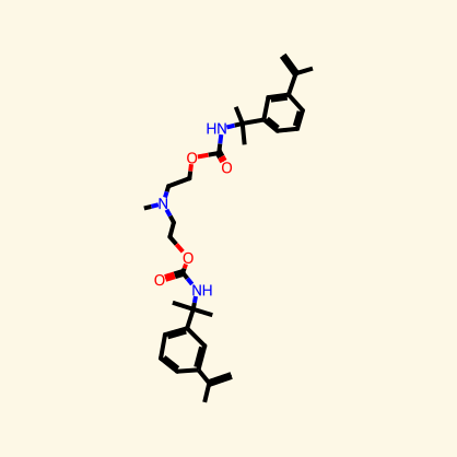 C=C(C)c1cccc(C(C)(C)NC(=O)OCCN(C)CCOC(=O)NC(C)(C)c2cccc(C(=C)C)c2)c1